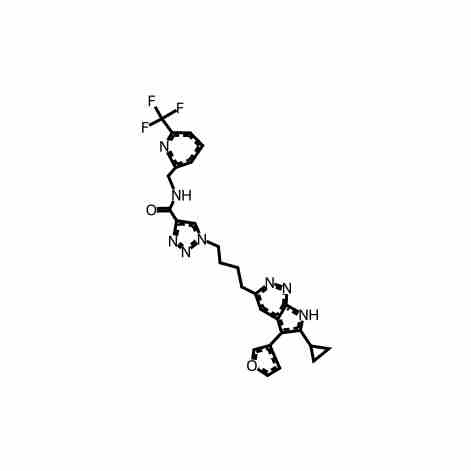 O=C(NCc1cccc(C(F)(F)F)n1)c1cn(CCCCc2cc3c(-c4ccoc4)c(C4CC4)[nH]c3nn2)nn1